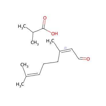 CC(C)=CCC/C(C)=C\C=O.CC(C)C(=O)O